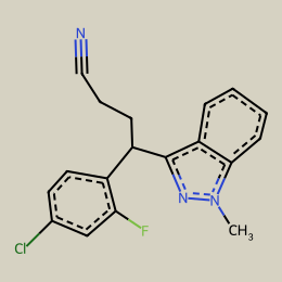 Cn1nc(C(CCC#N)c2ccc(Cl)cc2F)c2ccccc21